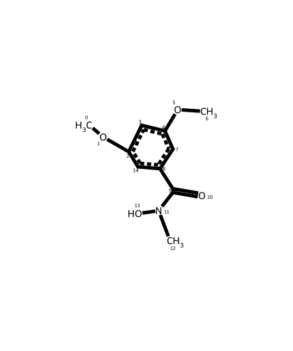 COc1cc(OC)cc(C(=O)N(C)O)c1